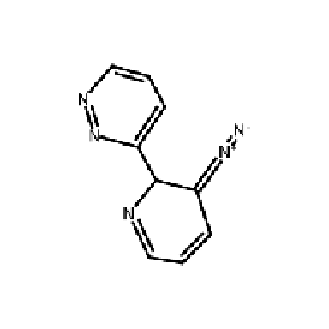 [N-]=[N+]=C1C=CC=NC1c1cccnn1